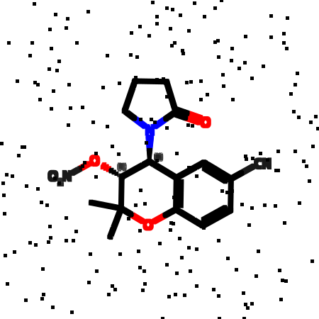 CC1(C)Oc2ccc(C#N)cc2[C@H](N2CCCC2=O)[C@H]1O[N+](=O)[O-]